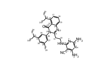 N#Cc1c(N)nc(N)nc1NCCc1nc2cccc(C(F)F)c2c(=O)n1-c1cc(F)cc(C(F)F)c1